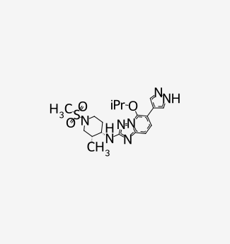 CC(C)Oc1c(-c2cn[nH]c2)ccc2nc(N[C@H]3CCN(S(C)(=O)=O)C[C@H]3C)nn12